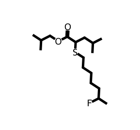 CC(C)COC(=O)C(CC(C)C)SCCCCCC(C)F